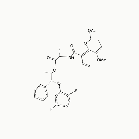 C=N/C(C(=O)N[C@@H](C)C(=O)O[C@@H](C)[C@H](Oc1cc(F)ccc1F)c1ccccc1)=C(OCOC(C)=O)\C(=C/C)OC